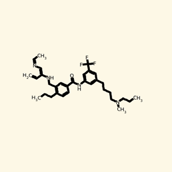 C=C/C(=C\N=C/C)NCc1cc(C(=O)Nc2cc(CCCCN(C)CCC)cc(C(F)(F)F)c2)ccc1CCC